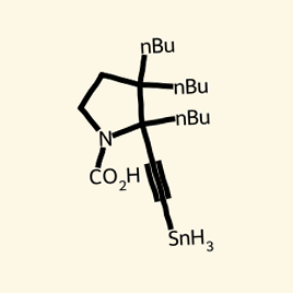 CCCCC1(CCCC)CCN(C(=O)O)C1(C#[C][SnH3])CCCC